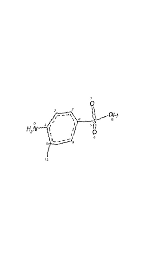 Nc1ccc(S(=O)(=O)O)cc1I